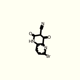 N#CC1C(=O)Nc2ccc(Br)nc2C1=O